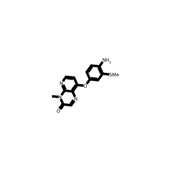 CSc1cc(Oc2ccnc3c2ncc(=O)n3C)ccc1N